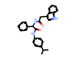 CC(C)c1ccc(NC(=O)C(NC(=O)Cc2c[nH]c3ccccc23)c2ccccc2)cc1